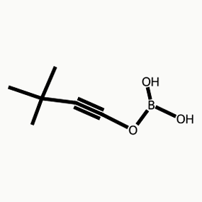 CC(C)(C)C#COB(O)O